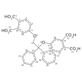 O=C(O)c1ccc(OCC(Oc2ccc(C(=O)O)c(C(=O)O)c2)(c2ccccc2)c2ccccc2)cc1C(=O)O